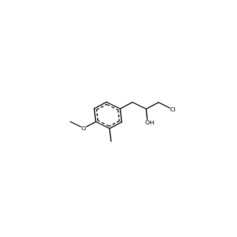 COc1ccc(CC(O)CCl)cc1C